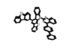 c1ccc(-c2ccc(-c3nc(-n4c5ccccc5c5c(-c6ccc7oc8ccccc8c7c6)cc6c7ccccc7oc6c54)nc4ccccc34)cc2)cc1